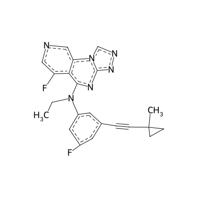 CCN(c1cc(F)cc(C#CC2(C)CC2)c1)c1nc2nncn2c2cncc(F)c12